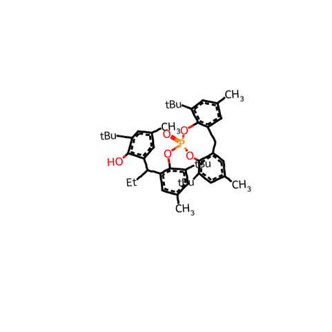 CCC(c1cc(C)cc(C(C)(C)C)c1O)c1cc(C)cc(C(C)(C)C)c1OP1(=O)Oc2c(cc(C)cc2C(C)(C)C)Cc2cc(C)cc(C(C)(C)C)c2O1